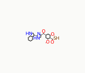 COc1cc(C(=O)c2c[nH]c(-c3c[nH]c4ccccc34)n2)cc(OC)c1C(=O)S